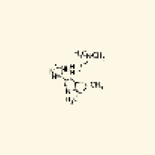 Cc1cc(C)c2ncc(-c3nnn[nH]3)c(NCCCN(C)C)c2c1